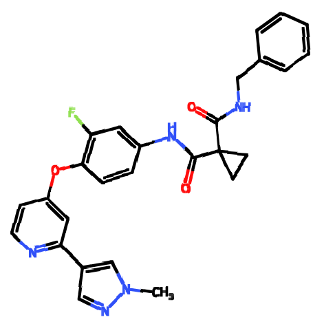 Cn1cc(-c2cc(Oc3ccc(NC(=O)C4(C(=O)NCc5ccccc5)CC4)cc3F)ccn2)cn1